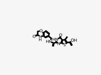 C=C(NCc1ccc2c(c1)NC(=O)CO2)c1nc2sc(C(=C)O)c(C)c2c(=O)[nH]1